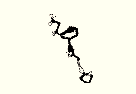 O=C(O)CC(=O)c1cccc(-c2cc(COC3CCCCO3)no2)c1